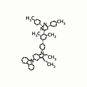 C=C/C=c1\c(=C/C)n(-c2ccc(-c3cc(C)c(-c4cc(-c5ccc(C)cc5)nc(-c5ccc(C)cc5)n4)c(C)c3)cc2)c2ccc(-n3c4ccccc4c4ccccc43)cc12